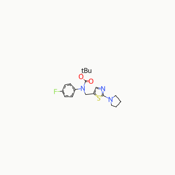 CC(C)(C)OC(=O)N(Cc1cnc(N2CCCC2)s1)c1ccc(F)cc1